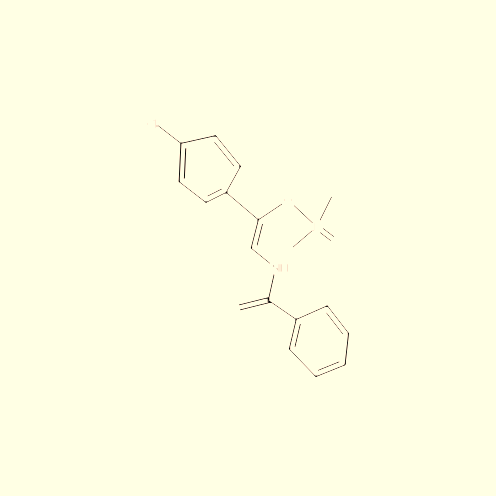 CP(C)(=O)OC(=CNC(=O)c1ccccc1)c1ccc(Cl)cc1